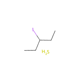 CCC(I)CC.S